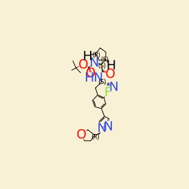 CC(C)(C)OC(=O)N1[C@@H]2CC[C@@H](C2)[C@H]1C(=O)N[C@H](C#N)Cc1ccc(-c2cnn(C[C@H]3CCOC3)c2)cc1F